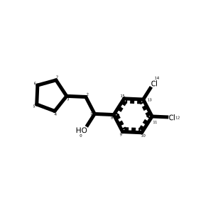 OC(CC1CCCC1)c1ccc(Cl)c(Cl)c1